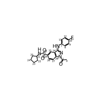 CC(=O)n1nc(Nc2ccc(F)cc2)c2cc(S(=O)(=O)NC3CCCC3)ccc21